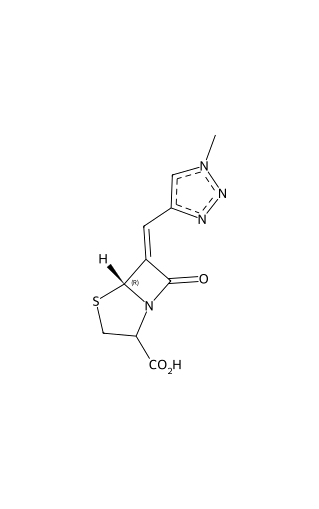 Cn1cc(C=C2C(=O)N3C(C(=O)O)CS[C@H]23)nn1